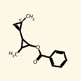 CC1C(OC(=O)c2ccccc2)C1C1=C[C@H]1C